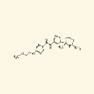 COCCOc1cnc(C(=O)NC2=CC([C@]3(C)CCSC(N)=N3)CN=C2)cn1